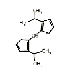 CC(C)C1=[C]([Os][C]2=C(C(C)C)C=CC2)CC=C1